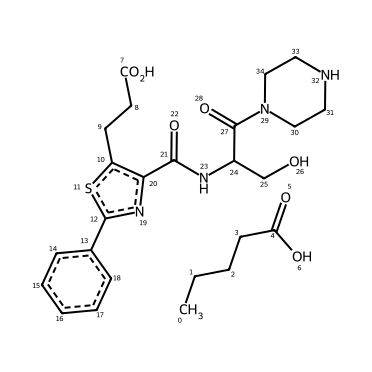 CCCCC(=O)O.O=C(O)CCc1sc(-c2ccccc2)nc1C(=O)NC(CO)C(=O)N1CCNCC1